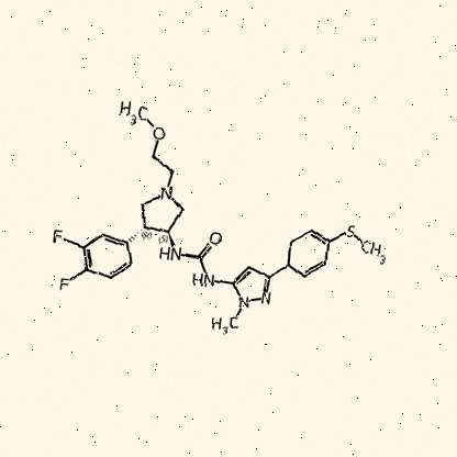 COCCN1C[C@@H](NC(=O)Nc2cc(C3C=CC(SC)=CC3)nn2C)[C@H](c2ccc(F)c(F)c2)C1